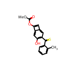 COC(=O)OC1=Cc2cc(C(=S)c3ccccc3C)c(O)cc21